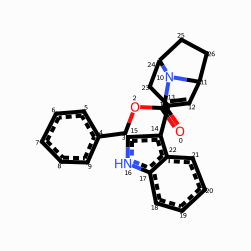 O=C(OCc1ccccc1)N1C2C=C(c3c[nH]c4ccccc34)CC1CC2